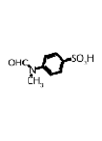 CN(C=O)c1ccc(S(=O)(=O)O)cc1